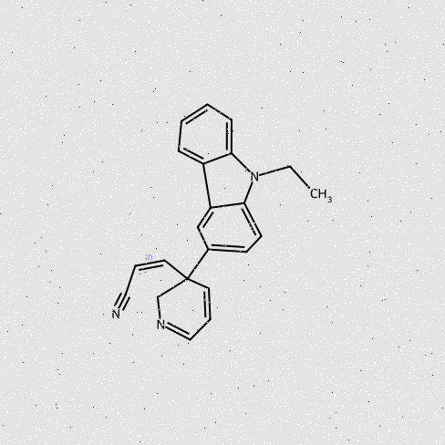 CCn1c2ccccc2c2cc(C3(/C=C\C#N)C=CC=NC3)ccc21